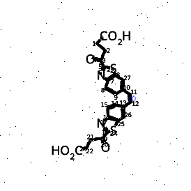 O=C(O)CCC(=O)c1nc2ccc(/C=C\c3ccc4nc(C(=O)CCC(=O)O)sc4c3)cc2s1